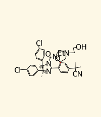 CCOc1cc(C(C)(C)C#N)ccc1C1=N[C@@](C)(c2ccc(Cl)cc2)[C@@](C)(c2ccc(Cl)cc2)N1C(=O)N1CCN(CCO)CC1